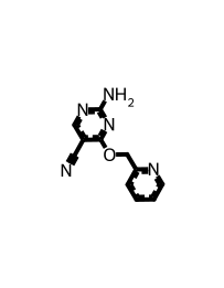 N#Cc1cnc(N)nc1OCc1ccccn1